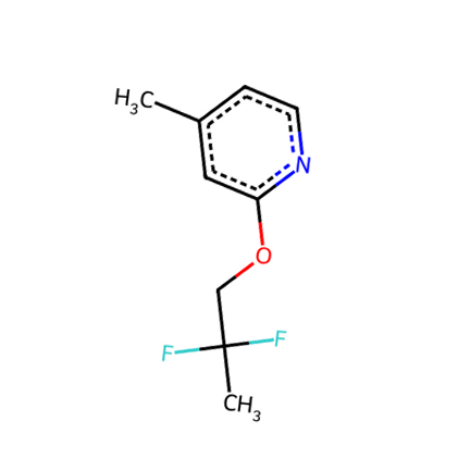 Cc1ccnc(OCC(C)(F)F)c1